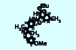 COc1ccc(Cn2nc(C)c(-c3ccc(NC(=O)[C@@H](NC(=O)OC(C)(C)C)C4CCC(C)CC4)cc3)c2C)cc1